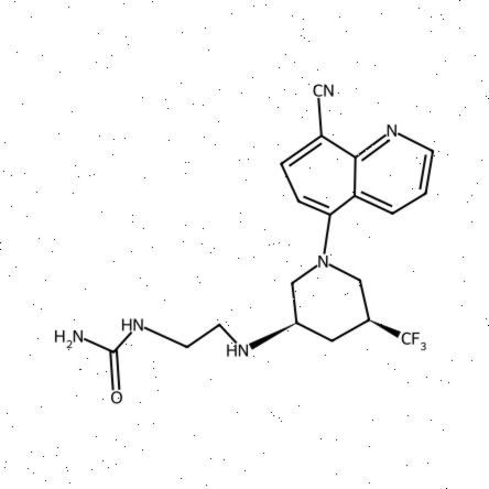 N#Cc1ccc(N2C[C@H](NCCNC(N)=O)C[C@H](C(F)(F)F)C2)c2cccnc12